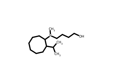 CC(C)C1CCCCCCC1N(C)CCCCO